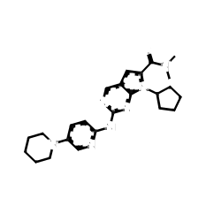 CN(C)C(=O)c1cc2cnc(Nc3ccc(N4CCCCC4)cn3)nc2n1C1CCCC1